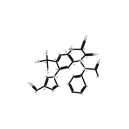 CC(=O)N(c1ccccc1)n1c(=O)c(=O)[nH]c2cc(C(F)(F)F)c(-n3ccc(C=O)c3)cc21